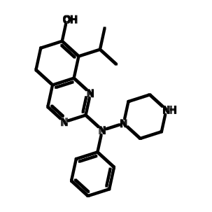 CC(C)C1=C(O)CCc2cnc(N(c3ccccc3)N3CCNCC3)nc21